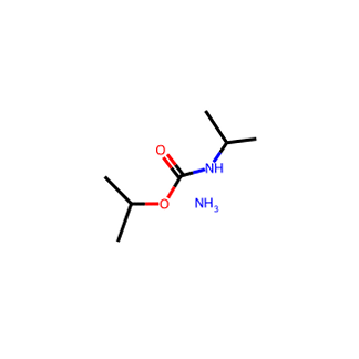 CC(C)NC(=O)OC(C)C.N